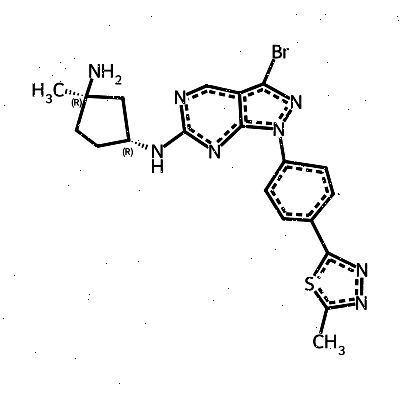 Cc1nnc(-c2[c]cc(-n3nc(Br)c4cnc(N[C@@H]5CC[C@@](C)(N)C5)nc43)cc2)s1